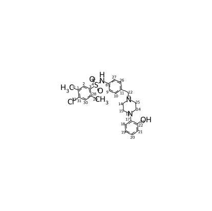 Cc1cc(S(=O)(=O)Nc2ccc(CN3CCN(c4ccccc4O)CC3)cc2)c(C)cc1Cl